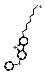 CCCCCCCCc1ccc2c(c1)[nH]c1cc(Nc3ccccc3)ccc12